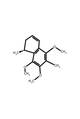 COc1c(C)c(OC)c(OC)c2c1C=CC[C@@H]2C